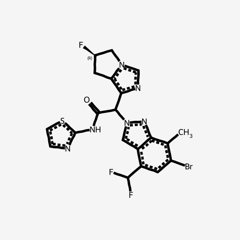 Cc1c(Br)cc(C(F)F)c2cn(C(C(=O)Nc3nccs3)c3ncn4c3C[C@@H](F)C4)nc12